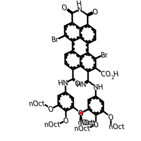 CCCCCCCCOc1cc(NC(=N)c2c(C(=O)O)c(Br)c3c4ccc5c6c(cc(Br)c(c7ccc(C(=O)Nc8cc(OCCCCCCCC)c(OCCCCCCCC)c(OCCCCCCCC)c8)c2c73)c64)C(=O)NC5=O)cc(OCCCCCCCC)c1OCCCCCCCC